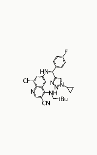 CC(C)(C)CNc1c(C#N)cnc2c(Cl)cc(N[C@@H](c3ccc(F)cc3)c3cn(C4CC4)nn3)cc12